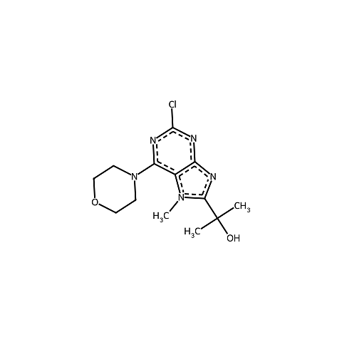 Cn1c(C(C)(C)O)nc2nc(Cl)nc(N3CCOCC3)c21